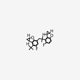 CC(C)(C)c1c(F)cc(CC(C)(C)c2c(F)ccc3c2[C@@H]2C[C@@H]2O3)c2c1[C@H]1C[C@H]1O2